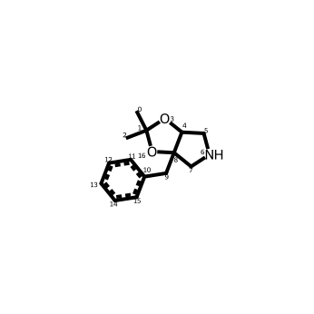 CC1(C)OC2CNCC2(Cc2ccccc2)O1